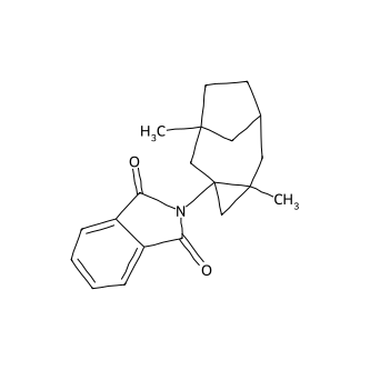 CC12CCC(C1)CC1(C)CC1(N1C(=O)c3ccccc3C1=O)C2